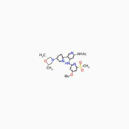 CCC(C)Oc1cc(Nc2cc(NC(C)=O)ncc2-c2ccc(N3C[C@@H](C)O[C@@H](C)C3)cn2)nc(S(C)(=O)=O)c1